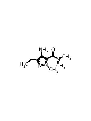 CCc1nn(C)c(C(=O)N(C)C)c1N